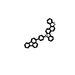 c1ccc2c(c1)-c1cccc3c(-c4ccc(-n5c6ccccc6c6c7ccc8sc9ccccc9c8c7ccc65)cc4)ccc-2c13